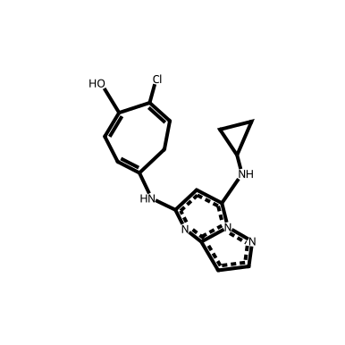 OC1=CC=C(Nc2cc(NC3CC3)n3nccc3n2)CC=C1Cl